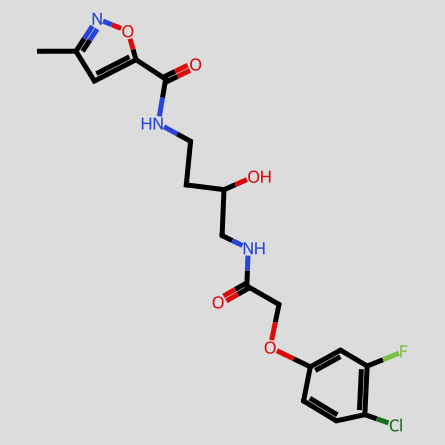 Cc1cc(C(=O)NCCC(O)CNC(=O)COc2ccc(Cl)c(F)c2)on1